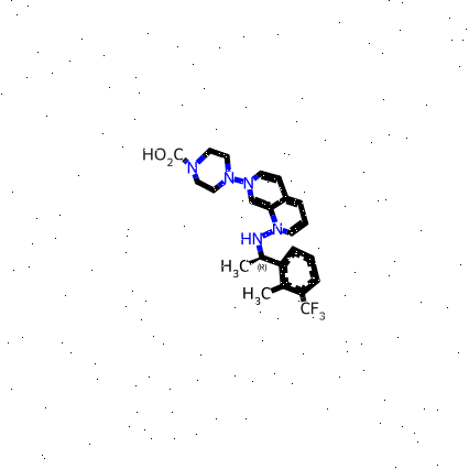 Cc1c([C@@H](C)NN2C=CC=C3C=CN(N4CCN(C(=O)O)CC4)C=C32)cccc1C(F)(F)F